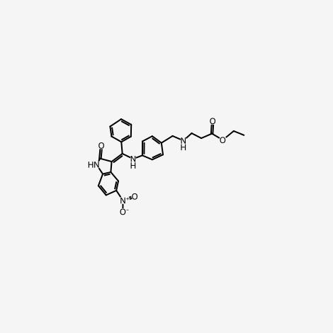 CCOC(=O)CCNCc1ccc(NC(=C2C(=O)Nc3ccc([N+](=O)[O-])cc32)c2ccccc2)cc1